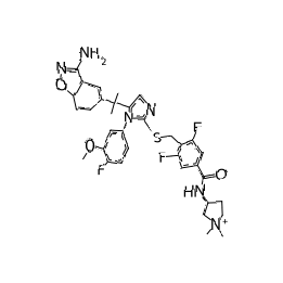 COc1cc(-n2c(C(C)(C)C3=CC4C(N)=NOC4C=C3)cnc2SCc2c(F)cc(C(=O)N[C@H]3CC[N+](C)(C)C3)cc2F)ccc1F